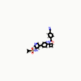 N#Cc1ccc(C(=O)NC2(c3ccc(-c4cncc(NS(=O)(=O)C5CC5)c4)cc3)CCC2)cc1